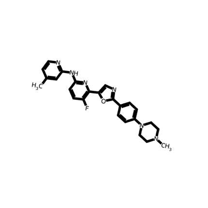 Cc1ccnc(Nc2ccc(F)c(-c3cnc(-c4ccc(N5CCN(C)CC5)cc4)o3)n2)c1